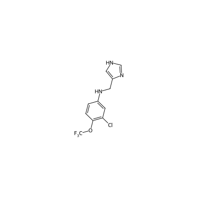 FC(F)(F)Oc1ccc(NCc2c[nH]cn2)cc1Cl